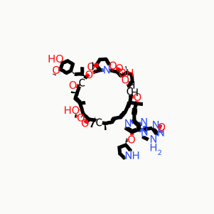 CCn1c(-c2nonc2N)nc2c(C#CC3(C)O[C@@H]4C[C@@H]5CC[C@@H](C)[C@@](O)(O5)C(=O)C(=O)N5CCCC[C@H]5C(=O)O[C@H](C(C)C[C@H]5CC[C@@H](O)[C@H](OC)C5)CC(=O)[C@H](C)/C=C(\C)[C@@H](O)[C@@H](OC)C(=O)[C@H](C)C[C@H](C)/C=C/C=C/C=C\43)ncc(OC[C@H]3CCCNC3)c21